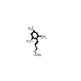 Cc1cc(C)c(/C=C/CO[C]=O)c(C)c1